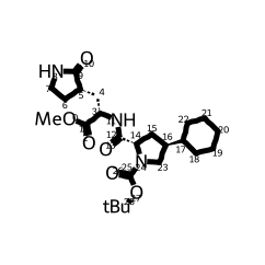 COC(=O)[C@H](C[C@@H]1CCNC1=O)NC(=O)[C@@H]1C[C@@H](C2CCCCC2)CN1C(=O)OC(C)(C)C